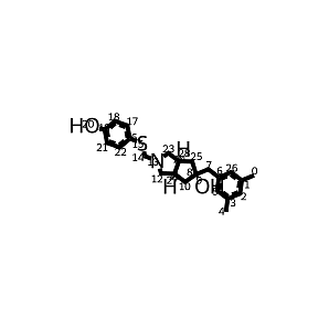 Cc1cc(C)cc(C[C@]2(O)C[C@H]3CN(CSc4ccc(O)cc4)C[C@H]3C2)c1